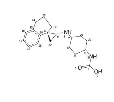 O=C(O)NC1CCC(N[C@@H]2C[C@@]23CCCc2ccccc23)CC1